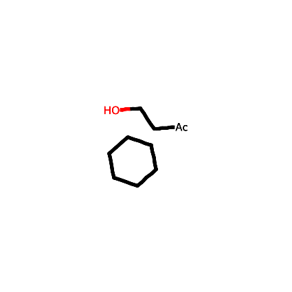 C1CCCCC1.CC(=O)CCO